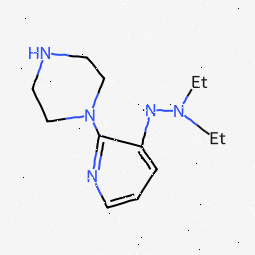 CCN(CC)[N]c1cccnc1N1CCNCC1